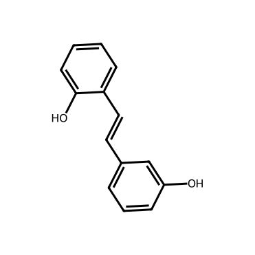 Oc1cccc(C=Cc2ccccc2O)c1